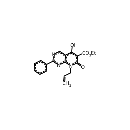 C=CCn1c(=O)c(C(=O)OCC)c(O)c2cnc(-c3ccccc3)nc21